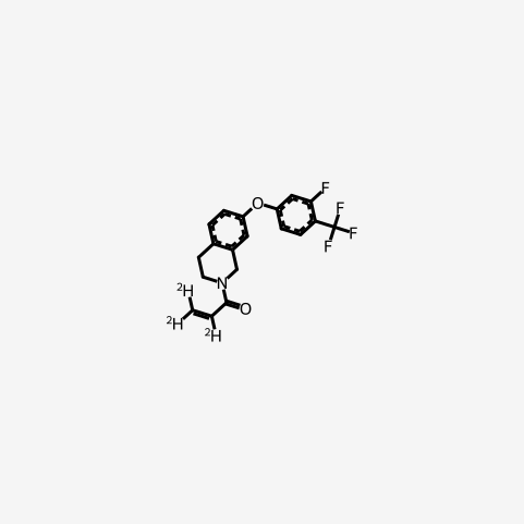 [2H]C([2H])=C([2H])C(=O)N1CCc2ccc(Oc3ccc(C(F)(F)F)c(F)c3)cc2C1